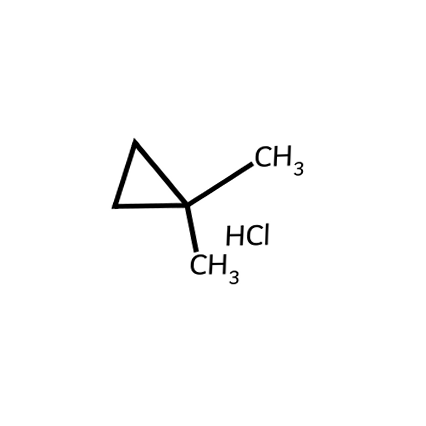 CC1(C)CC1.Cl